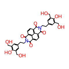 O=C1c2ccc3c4c(ccc(c24)C(=O)N1CCc1cc(CO)c(O)c(CO)c1)C(=O)N(CCc1cc(CO)c(O)c(CO)c1)C3=O